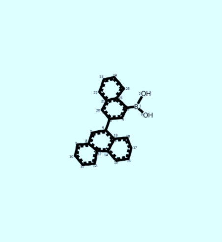 OB(O)c1cc(-c2cc3ccccc3c3ccccc23)cc2ccccc12